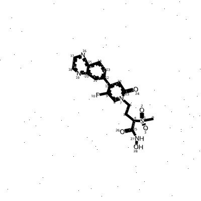 CS(=O)(=O)C(CCn1cc(F)c(-c2ccc3nccnc3c2)cc1=O)C(=O)NO